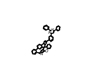 N#Cc1ccccc1-c1ccc2c(c1)C1(c3ccccc3Oc3ccccc31)c1cc(-c3cccc(-c4cc(-c5ccccc5)nc(-c5ccccc5)n4)c3)ccc1-2